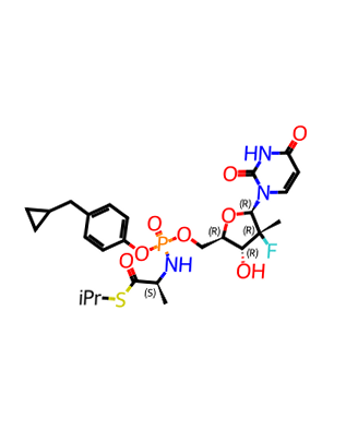 CC(C)SC(=O)[C@H](C)NP(=O)(OC[C@H]1O[C@@H](n2ccc(=O)[nH]c2=O)[C@](C)(F)[C@@H]1O)Oc1ccc(CC2CC2)cc1